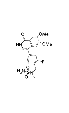 COc1cc2c(-c3ccc(CN(C)S(N)(=O)=O)c(F)c3)n[nH]c(=O)c2cc1OC